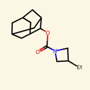 CCC1CN(C(=O)OC2C3CC4CC(C3)CC2C4)C1